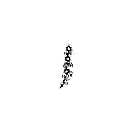 CCOC(=O)CNC(=O)Oc1ncc(C(=O)NS(=O)(=O)c2ccc(C(=O)NC3CCCCC3)cc2)cc1OC